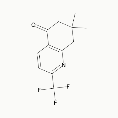 CC1(C)CC(=O)c2ccc(C(F)(F)F)nc2C1